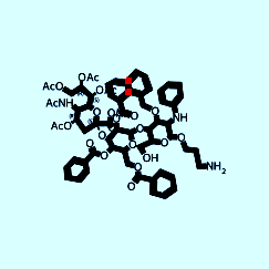 COC(=O)[C@@]1(OC2C(OC(=O)c3ccccc3)C(COC(=O)c3ccccc3)OC(OC3C(CO)OC(OCCCN)C(Nc4ccccc4)C3OCc3ccccc3)C2OC(=O)c2ccccc2)C[C@@H](OC(C)=O)C(NC(C)=O)C([C@H](OC(C)=O)[C@@H](COC(C)=O)OC(C)=O)O1